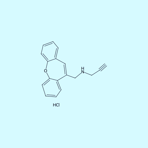 C#CCNCC1=Cc2ccccc2Oc2ccccc21.Cl